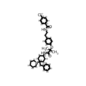 CC(C)(Oc1ccc(CCNC(=O)c2ccc(Cl)cc2)cc1)C(=O)NC1CCC(Cc2ccccc2)(N2CCCCC2)CC1